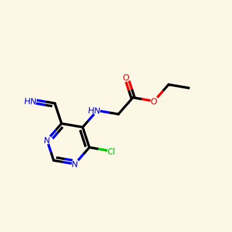 CCOC(=O)CNc1c(Cl)ncnc1C=N